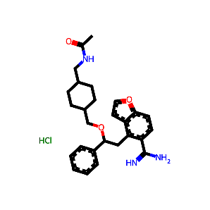 CC(=O)NCC1CCC(COC(Cc2c(C(=N)N)ccc3occc23)c2ccccc2)CC1.Cl